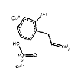 C=CCc1ccccc1O.O=[PH2]O.[Ca+2].[Ca+2].[S-2]